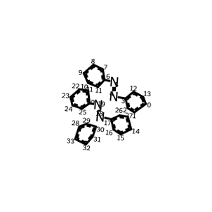 c1ccc(N=Nc2ccccc2)cc1.c1ccc(N=Nc2ccccc2)cc1.c1ccccc1